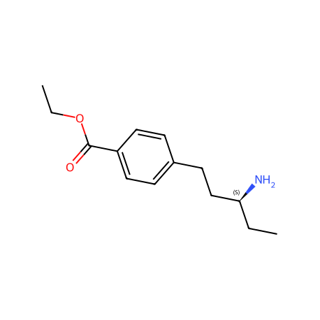 CCOC(=O)c1ccc(CC[C@@H](N)CC)cc1